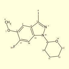 COc1cc2c(I)nn(C3CCCCO3)c2cc1F